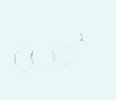 C=C(C)c1ccc(Cc2ccccc2)cc1